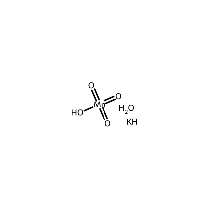 O.[KH].[O]=[Mn](=[O])(=[O])[OH]